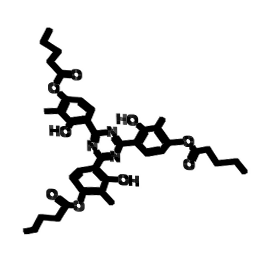 CCCCC(=O)Oc1ccc(-c2nc(-c3ccc(OC(=O)CCCC)c(C)c3O)nc(-c3ccc(OC(=O)CCCC)c(C)c3O)n2)c(O)c1C